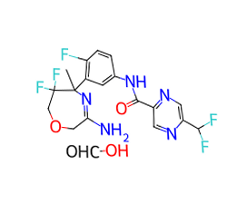 CC1(c2cc(NC(=O)c3cnc(C(F)F)cn3)ccc2F)N=C(N)COCC1(F)F.O=CO